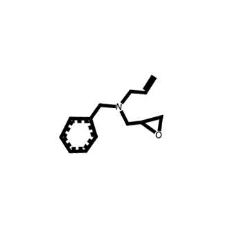 C=CCN(Cc1ccccc1)CC1CO1